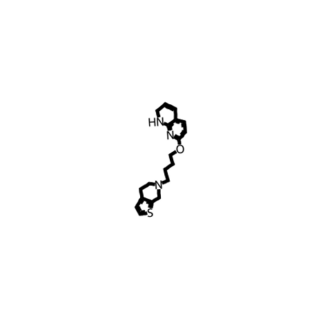 C1=Cc2ccc(OCCCCN3CCc4ccsc4C3)nc2NC1